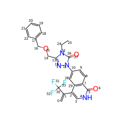 C=C(c1c[nH]c(=O)c2ccc(-n3nc(COCc4ccccc4)n(CC)c3=O)cc12)C(F)(F)F